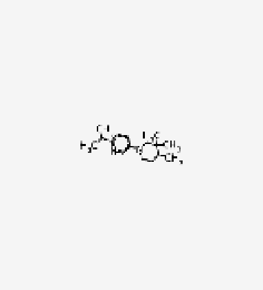 CC(C)c1ccc(N2CCC(C)C(C)(C)C2)cn1